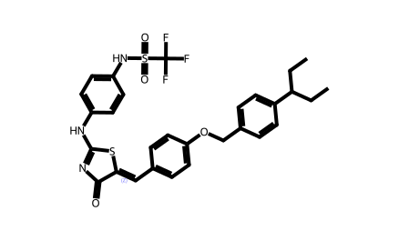 CCC(CC)c1ccc(COc2ccc(/C=C3\SC(Nc4ccc(NS(=O)(=O)C(F)(F)F)cc4)=NC3=O)cc2)cc1